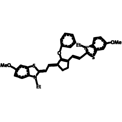 CCN1/C(=C/C=C2\CCC(/C=C/c3sc4cc(OC)ccc4[n+]3CC)=C2Oc2ccccc2)Sc2cc(OC)ccc21